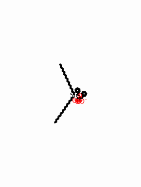 CCCCCCCCCCCCCCCCC[CH2][Sn+2][CH2]CCCCCCCCCCCCCCCCC.O=C([O-])CC(Cc1ccccc1)(OCc1ccccc1)C(=O)[O-]